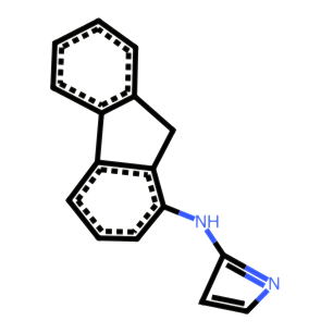 C1=CC(Nc2cccc3c2Cc2ccccc2-3)=N1